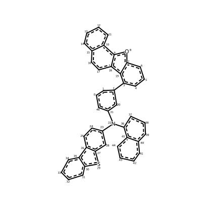 c1cc(-c2cccc3oc4c5ccccc5ccc4c23)cc(N(c2ccc3c(c2)sc2ccccc23)c2cccc3ccccc23)c1